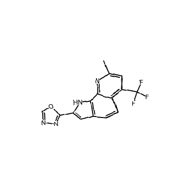 Cc1cc(C(F)(F)F)c2ccc3cc(-c4nnco4)[nH]c3c2n1